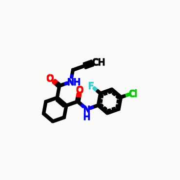 C#CCNC(=O)C1=C(C(=O)Nc2ccc(Cl)cc2F)CCCC1